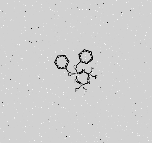 FP1(F)=NP(F)(F)=NP(Oc2ccccc2)(Oc2ccccc2)=N1